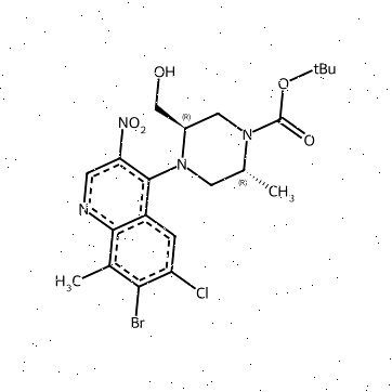 Cc1c(Br)c(Cl)cc2c(N3C[C@@H](C)N(C(=O)OC(C)(C)C)C[C@@H]3CO)c([N+](=O)[O-])cnc12